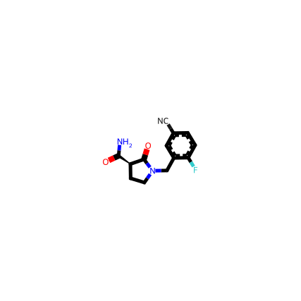 N#Cc1ccc(F)c(CN2CC[C@@H](C(N)=O)C2=O)c1